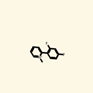 C[n+]1ccccc1-c1ccc(F)cc1F